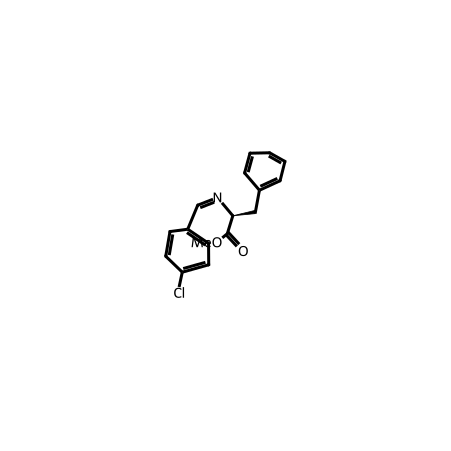 COC(=O)[C@H](Cc1ccccc1)/N=C\c1ccc(Cl)cc1